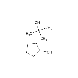 CC(C)(C)O.OC1CCCC1